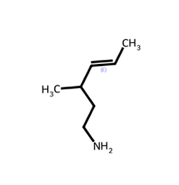 C/C=C/C(C)CCN